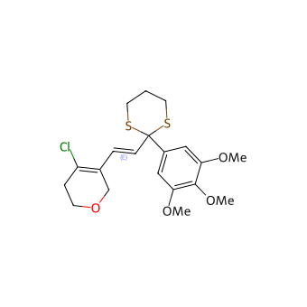 COc1cc(C2(/C=C/C3=C(Cl)CCOC3)SCCCS2)cc(OC)c1OC